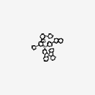 c1ccc(-c2cc(N(c3ccc(-c4ccc5ccccc5c4)cc3)c3ccc4c(c3)C3(c5ccccc5-c5ccccc53)c3ccccc3-4)c3sc4c(-c5ccccc5)cccc4c3c2)cc1